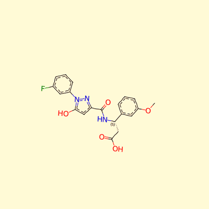 COc1cccc([C@H](CC(=O)O)NC(=O)c2cc(O)n(-c3cccc(F)c3)n2)c1